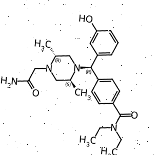 CCN(CC)C(=O)c1ccc([C@H](c2cccc(O)c2)N2C[C@@H](C)N(CC(N)=O)C[C@@H]2C)cc1